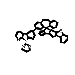 C1=Cc2ccc(-c3ccc4c(c3)c3cccnc3n4-c3ncccn3)cc2C2(c3ccccc31)c1ccccc1-c1cc3c(cc12)sc1ccccc13